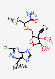 C#C[C@@]1(O)[C@@H](COC(C(N)=O)C(=O)O)O[C@@H](n2cnc3c(NC)nc(Cl)nc32)[C@@H]1O